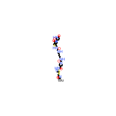 CC(C)(C)c1cnc(CSc2cnc(NC(=O)C3CCN(CC(=O)NCCCCCNCC(=O)NCc4scc5c4CN(C4CCC(=O)NC4=O)C5=O)CC3)s2)o1